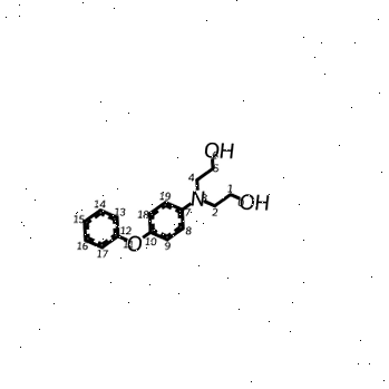 OCCN(CCO)c1ccc(Oc2ccccc2)cc1